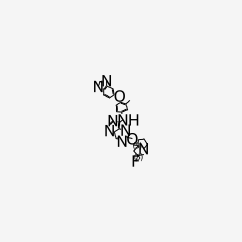 Cc1cc(Nc2ncnc3cnc(OC[C@@]45CCCN4C[C@@H](F)C5)nc23)ccc1Oc1ccc2c(c1)ncn2C